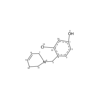 Oc1ccc(CN2CC=CCC2)c(Cl)c1